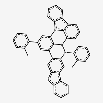 Cc1ccccc1-c1cc2c3c(c1)-n1c4ccccc4c4cccc(c41)B3N(c1ccccc1C)c1cc3c(cc1-2)oc1ccccc13